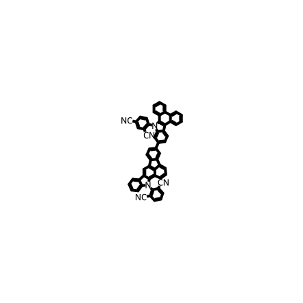 N#Cc1ccc(-n2c3cc(-c4ccc5c(c4)-c4cccc6c4c-5cc4c5ccccc5n(-c5c(C#N)cccc5C#N)c64)ccc3c3c4ccccc4c4ccccc4c32)c(C#N)c1